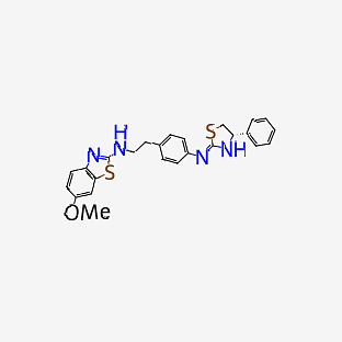 COc1ccc2nc(NCCc3ccc(/N=C4/N[C@@H](c5ccccc5)CS4)cc3)sc2c1